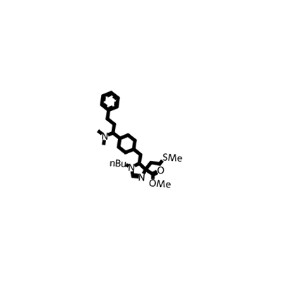 CCCCN1C=NC(CCSC)(C(=O)OC)C1CC1CCC(C(CCc2ccccc2)N(C)C)CC1